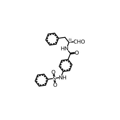 O=C[C@H](Cc1ccccc1)NC(=O)c1ccc(NS(=O)(=O)c2ccccc2)cc1